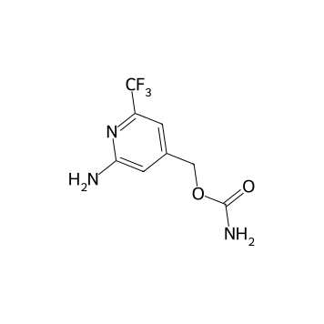 NC(=O)OCc1cc(N)nc(C(F)(F)F)c1